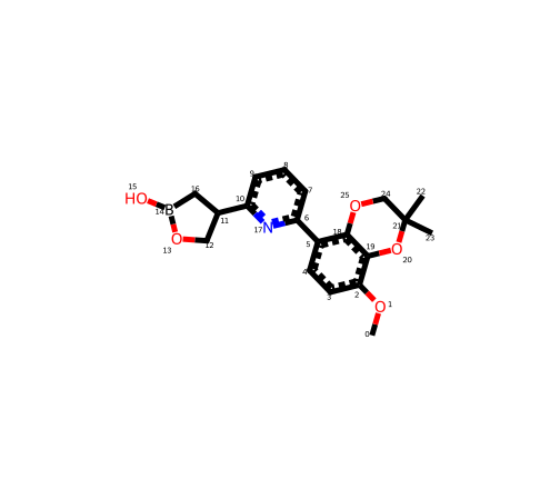 COc1ccc(-c2cccc(C3COB(O)C3)n2)c2c1OC(C)(C)CO2